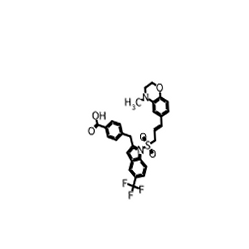 CN1CCOc2ccc(C=CCS(=O)(=O)n3c(Cc4ccc(C(=O)O)cc4)cc4cc(C(F)(F)F)ccc43)cc21